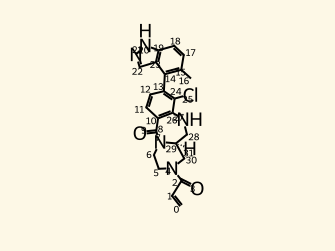 C=CC(=O)N1CCN2C(=O)c3ccc(-c4c(C)ccc5[nH]ncc45)c(Cl)c3NC[C@H]2C1